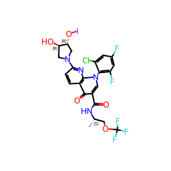 C[C@@H](COC(F)(F)F)NC(=O)c1cn(-c2c(F)cc(F)cc2Cl)c2nc(N3C[C@@H](O)[C@H](OI)C3)ccc2c1=O